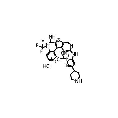 CC(C)n1nc(C2CCNCC2)cc1Nc1ncc2sc(C(N)=O)c(-c3ccccc3OC(F)(F)F)c2n1.Cl